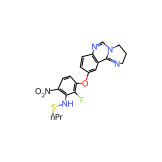 CCCSNc1c([N+](=O)[O-])ccc(Oc2ccc3c(c2)C2=NCCCN2C=N3)c1F